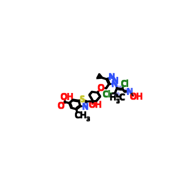 C\C=C(Cl)/C(=C(Cl)\C=N\O)n1nnc(C2CC2)c1COC1CCC(O)(c2nc3c(C)cc(C(=O)O)cc3s2)CC1